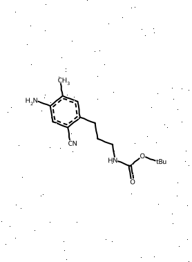 Cc1cc(CCCNC(=O)OC(C)(C)C)c(C#N)cc1N